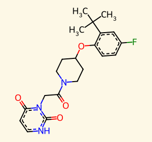 CC(C)(C)c1cc(F)ccc1OC1CCN(C(=O)Cn2c(=O)cc[nH]c2=O)CC1